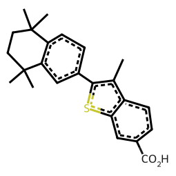 Cc1c(-c2ccc3c(c2)C(C)(C)CCC3(C)C)sc2cc(C(=O)O)ccc12